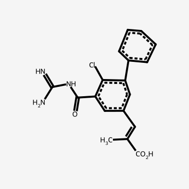 CC(=Cc1cc(C(=O)NC(=N)N)c(Cl)c(-c2ccccc2)c1)C(=O)O